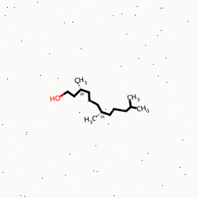 CC(C)CCC[C@H](C)CCC[C@@H](C)CCO